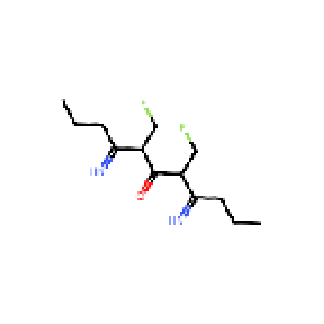 CCCC(=N)C(CF)C(=O)C(CF)C(=N)CCC